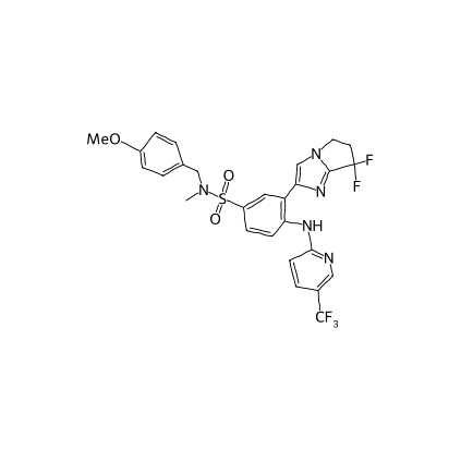 COc1ccc(CN(C)S(=O)(=O)c2ccc(Nc3ccc(C(F)(F)F)cn3)c(-c3cn4c(n3)C(F)(F)CC4)c2)cc1